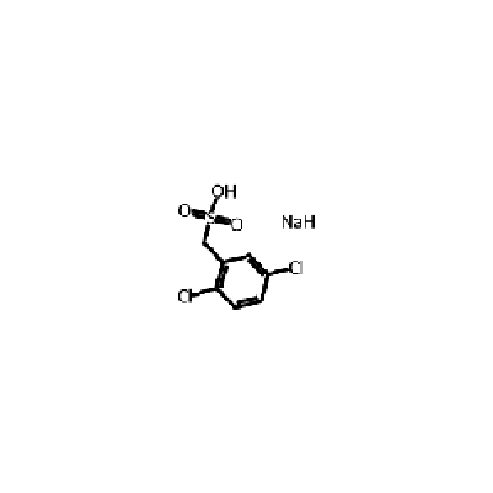 O=S(=O)(O)Cc1cc(Cl)ccc1Cl.[NaH]